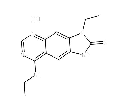 CCNc1ncnc2cc3c(cc12)[nH]c(=S)n3CC.Cl